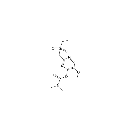 CCS(=O)(=O)Cc1ncc(OC)c(OC(=O)N(C)C)n1